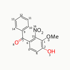 COc1c(O)ccc(C(=O)c2ccccc2)c1[N+](=O)[O-]